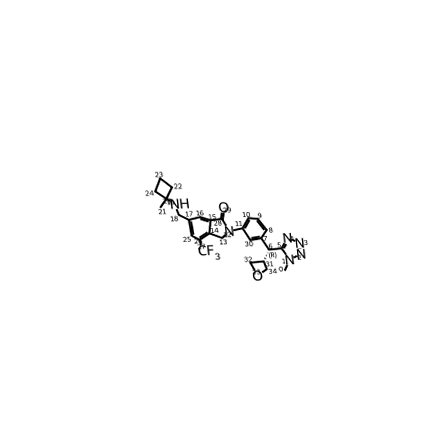 Cn1nnnc1[C@@H](c1cccc(N2Cc3c(cc(CNC4(C)CCC4)cc3C(F)(F)F)C2=O)c1)C1COC1